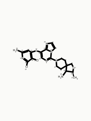 C[C@@H]1OCC2(CCN(c3ncc(Sc4cc(N)nc(Cl)c4Cl)c4nccn34)CC2)C1N